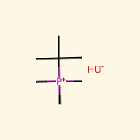 CC(C)(C)[P+](C)(C)C.[OH-]